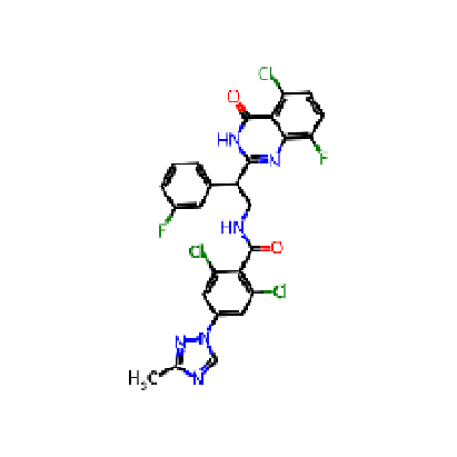 Cc1ncn(-c2cc(Cl)c(C(=O)NCC(c3cccc(F)c3)c3nc4c(F)ccc(Cl)c4c(=O)[nH]3)c(Cl)c2)n1